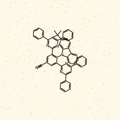 CC(C)(C)c1ccc2c3ccccc3n(-c3c(-c4nc(-c5ccccc5)cc(-c5ccccc5)n4)cc(C#N)cc3-c3nc(-c4ccccc4)cc(-c4ccccc4)n3)c2c1